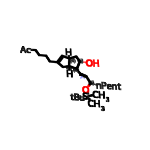 CCCCC[C@@H](/C=C/[C@H]1[C@@H]2CC(CCCCC(C)=O)=C[C@@H]2C[C@@H]1O)O[Si](C)(C)C(C)(C)C